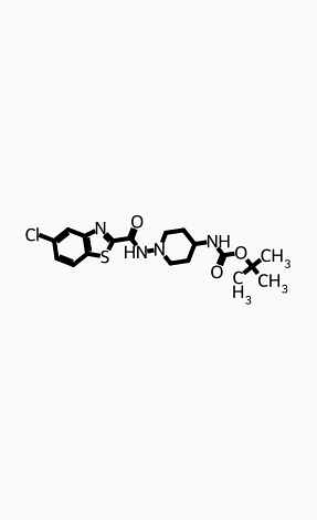 CC(C)(C)OC(=O)NC1CCN(NC(=O)c2nc3cc(Cl)ccc3s2)CC1